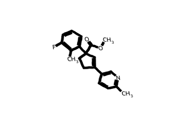 COC(=O)C1(c2cccc(F)c2C)C=C(c2ccc(C)nc2)CC1